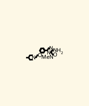 CNC(=O)c1nc(-c2cccc(OCCN3CCC(C)CC3)c2)cnc1N